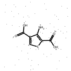 Nc1c(C(=O)O)csc1C(=O)O